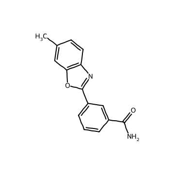 Cc1ccc2nc(-c3cccc(C(N)=O)c3)oc2c1